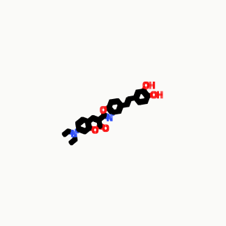 CCN(CC)c1ccc2cc(-c3nc4cc(/C=C/c5ccc(O)c(O)c5)ccc4o3)c(=O)oc2c1